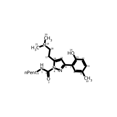 CCCCCNC(=O)n1nc(-c2cc(C)ccc2O)cc1CCN(C)C